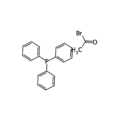 CC(=O)Br.c1ccc(P(c2ccccc2)c2ccccc2)cc1